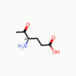 CC(=O)[C@H](N)CCC(=O)O